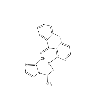 CC(COc1cccc2sc3ccccc3c(=O)c12)n1ccnc1O